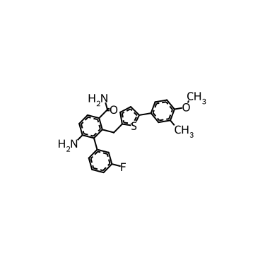 COc1ccc(-c2ccc(Cc3c(C(N)=O)ccc(N)c3-c3cccc(F)c3)s2)cc1C